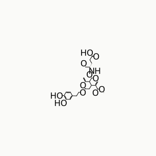 C=CC1C(ON[C@H](C=O)CCC(=O)O)OC=C(C(=O)OC)C1CC(=O)OCCc1ccc(O)c(O)c1